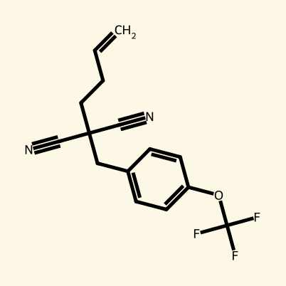 C=CCCC(C#N)(C#N)Cc1ccc(OC(F)(F)F)cc1